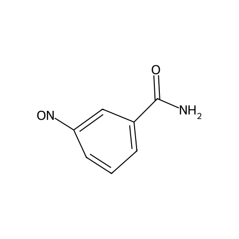 NC(=O)c1cccc(N=O)c1